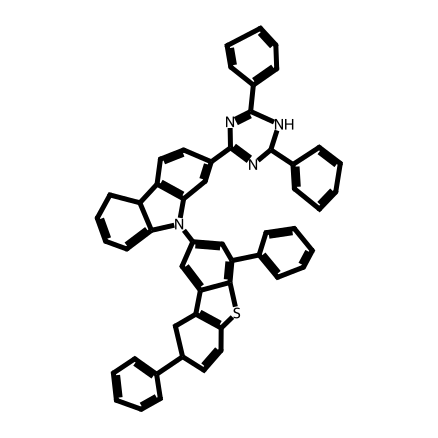 C1=CCC2C(=C1)N(c1cc(-c3ccccc3)c3sc4c(c3c1)CC(c1ccccc1)C=C4)c1cc(C3=NC(c4ccccc4)NC(c4ccccc4)=N3)ccc12